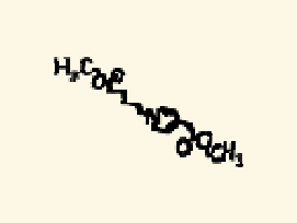 CCOC(=O)CCCCC[n+]1ccc(CC(=O)OCC)cc1